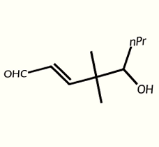 CCCC(O)C(C)(C)/C=C/C=O